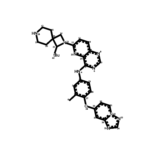 Cc1cc(Nc2ncnc3ccc(N4CC5(CCNCC5)C4C(C)(C)C)nc23)ccc1Oc1ccn2ncnc2c1